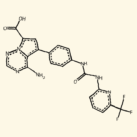 Nc1ncnn2c(C(=O)O)cc(-c3ccc(NC(=O)Nc4cccc(C(F)(F)F)n4)cc3)c12